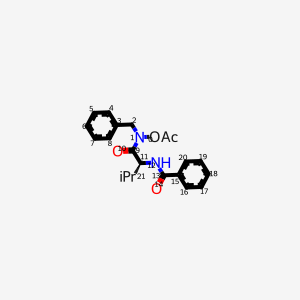 CC(=O)ON(Cc1ccccc1)C(=O)[C@@H](NC(=O)c1ccccc1)C(C)C